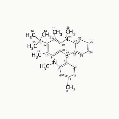 Cc1ccc2c(c1)N(C)c1c(C)c(C(C)(C)C)c(C)c3c1B2c1ccccc1N3C